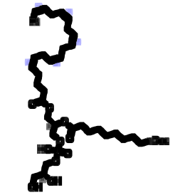 CC/C=C\C/C=C\C/C=C\C/C=C\C/C=C\CCCC(=O)OC[C@H](COP(=O)(O)OC[C@@H](O)CO)OC(=O)CCCCCCCCCCCCCCCCCC